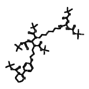 CC(C)(C)OC(=O)/N=C(/N(CCCCCCCN/C(=N\C(=O)OC(C)(C)C)NC(=O)OC(C)(C)C)C(=O)OC(C)(C)C)N(CCCOc1ccc(C2=NCCCN2C(=O)OC(C)(C)C)cc1)C(=O)OC(C)(C)C